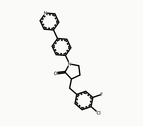 O=C1C(Cc2ccc(Cl)c(F)c2)CCN1c1ccc(-c2ccncc2)cc1